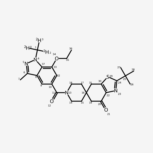 [2H]C([2H])([2H])n1nc(C)c2cc(C(=O)N3CCC4(CC3)CC(=O)c3nc(C(C)(C)C)sc3C4)cc(OCC)c21